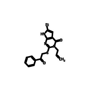 C=CCn1c(SCC(=O)c2ccccc2)nc2[nH]c(CC)cc2c1=O